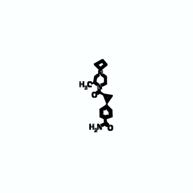 C[C@@H]1CN(C2CCC2)CCN1C(=O)[C@H]1C[C@@H]1c1ccc(C(N)=O)cc1